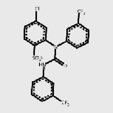 O=C(Nc1cccc(C(F)(F)F)c1)N(c1cccc(C(F)(F)F)c1)c1cc(Cl)ccc1S(=O)(=O)O